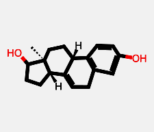 C[C@]12CC[C@H]3C(=CCc4cc(O)ccc43)[C@@H]1CCC2O